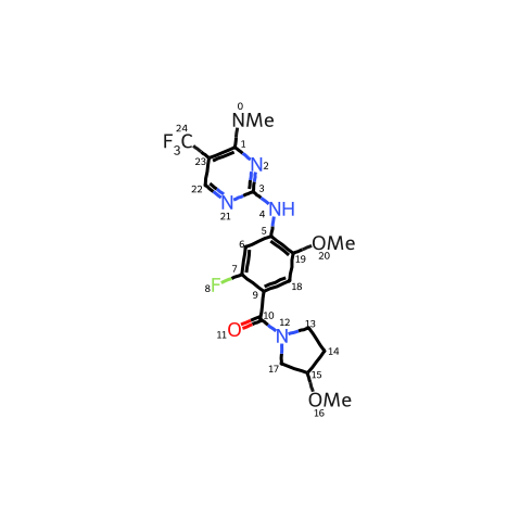 CNc1nc(Nc2cc(F)c(C(=O)N3CCC(OC)C3)cc2OC)ncc1C(F)(F)F